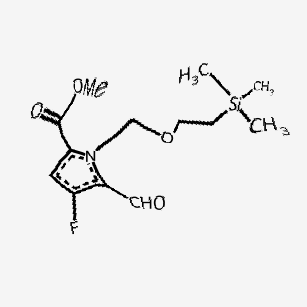 COC(=O)c1cc(F)c(C=O)n1COCC[Si](C)(C)C